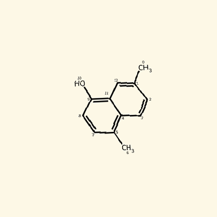 Cc1ccc2c(C)ccc(O)c2c1